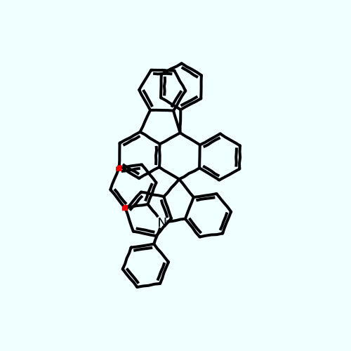 c1ccc(N(c2ccccc2)c2ccccc2C2(c3ccccc3)c3ccccc3C3(c4ccccc4)c4ccccc4-c4cccc2c43)cc1